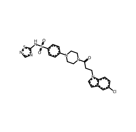 O=C(CCn1ccc2cc(Cl)ccc21)N1CCN(c2ccc(S(=O)(=O)Nc3ncns3)cc2)CC1